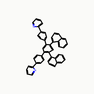 c1ccc(-c2ccc(-c3cc(-c4ccc(-c5ccccn5)cc4)c(-c4cccc5ccccc45)cc3-c3cccc4ccccc34)cc2)nc1